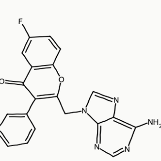 Nc1ncnc2c1ncn2Cc1oc2ccc(F)cc2c(=O)c1-c1ccccc1